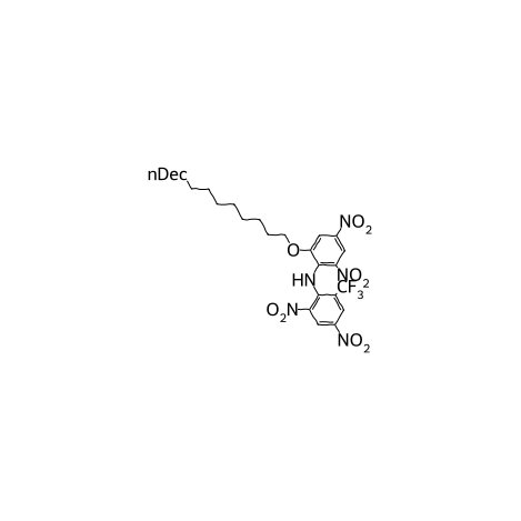 CCCCCCCCCCCCCCCCCCOc1cc([N+](=O)[O-])cc([N+](=O)[O-])c1Nc1c([N+](=O)[O-])cc([N+](=O)[O-])cc1C(F)(F)F